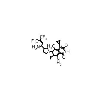 CC1=c2c(c(=O)[nH]c(=O)n2C2CC2)=C(N)C(F)C1N1CCC(C(N)C=C(C(F)(F)F)C(F)(F)F)C1